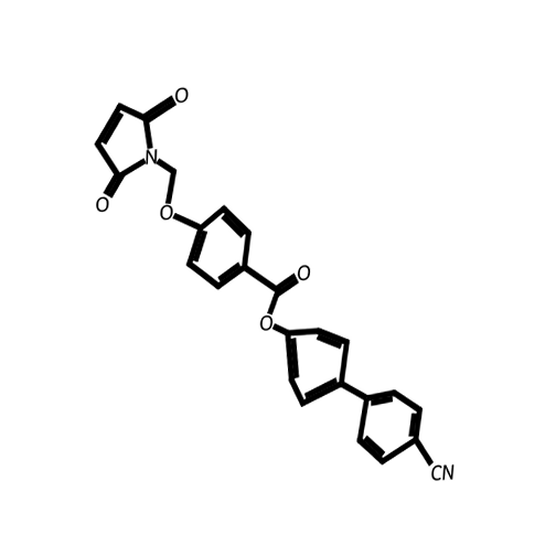 N#Cc1ccc(-c2ccc(OC(=O)c3ccc(OCN4C(=O)C=CC4=O)cc3)cc2)cc1